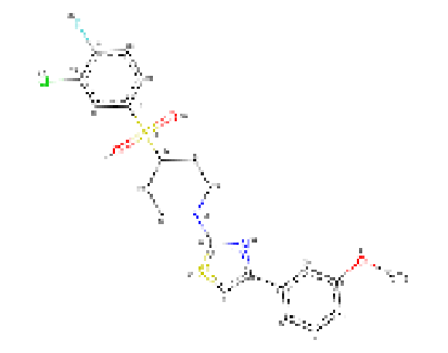 COc1cccc(-c2csc(N3CCC(S(=O)(=O)c4ccc(F)c(Cl)c4)CC3)n2)c1